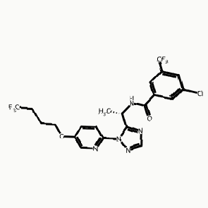 C[C@H](NC(=O)c1cc(Cl)cc(C(F)(F)F)c1)c1ncnn1-c1ccc(OCCCC(F)(F)F)cn1